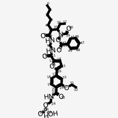 CCCCCC(C(=O)NCNC(=O)c1ccc(-c2ccc(C(=O)NCO[PH](=O)O)c(OCC)c2)o1)C(CC)N(C=O)OC(=O)c1ccccc1